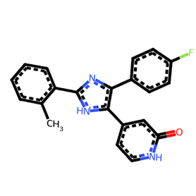 Cc1ccccc1-c1nc(-c2ccc(F)cc2)c(-c2cc[nH]c(=O)c2)[nH]1